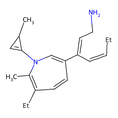 CC/C=C\C(=C/CN)C1=CN(C2=CC2C)C(C)=C(CC)C=C1